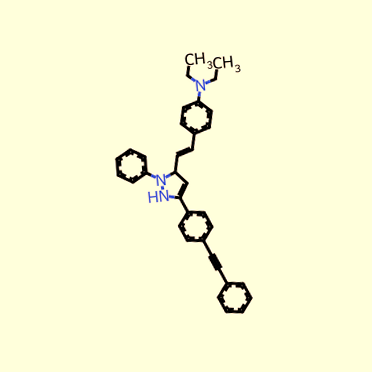 CCN(CC)c1ccc(C=CC2C=C(c3ccc(C#Cc4ccccc4)cc3)NN2c2ccccc2)cc1